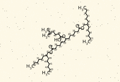 CCCCCCC(CCCCCC)COC(=O)CCCCCC(CCCCCC(=O)OCC(CCCCCC)CCCCCC)OC(O)CCCN(C)C